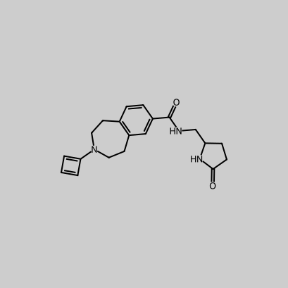 O=C1CCC(CNC(=O)c2ccc3c(c2)CCN(C2=CC=C2)CC3)N1